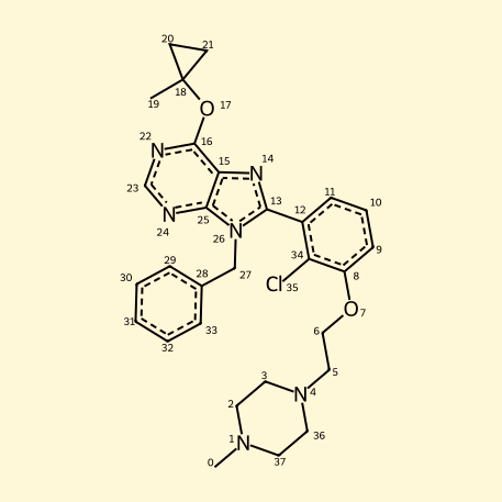 CN1CCN(CCOc2cccc(-c3nc4c(OC5(C)CC5)ncnc4n3Cc3ccccc3)c2Cl)CC1